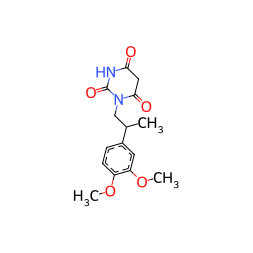 COc1ccc(C(C)CN2C(=O)CC(=O)NC2=O)cc1OC